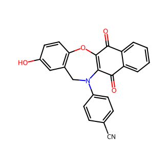 N#Cc1ccc(N2Cc3cc(O)ccc3OC3=C2C(=O)c2ccccc2C3=O)cc1